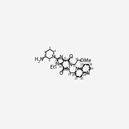 CCn1c(N2CCCC(N)C2)nc2c(=O)n(CCOC)n(Cc3ccc4ncccc4n3)c(=O)c21